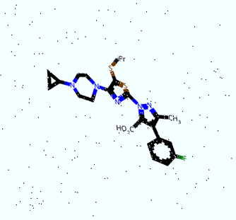 Cc1nn(-c2nc(N3CCN(C4CC4)CC3)c(SC(C)C)s2)c(C(=O)O)c1-c1cccc(F)c1